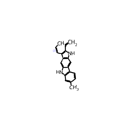 C=Cc1[nH]c2cc3c(cc2c1/C=C\C)[nH]c1cc(C)ccc13